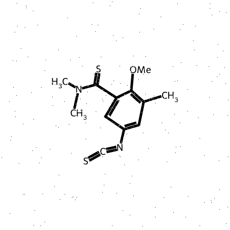 COc1c(C)cc(N=C=S)cc1C(=S)N(C)C